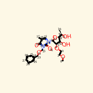 COCCO[C@@H]1[C@H](O)[C@@H]([C@@H](C)O)O[C@H]1n1cc(C)c(=O)n(COCc2ccccc2)c1=O